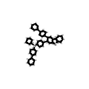 c1ccc(-c2ccc(-c3cc4c(cc3-c3ccc(N(c5ccccc5)c5ccc(-c6ccccc6)cc5)cc3)sc3ccccc34)cc2)cc1